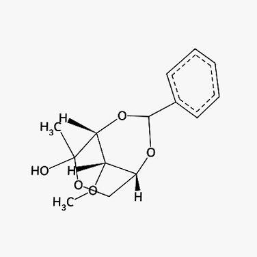 CO[C@@H]1[C@H]2OC(c3ccccc3)O[C@@H]1COC2(C)O